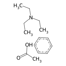 CC(=O)O.CCN(CC)CC.c1ccccc1